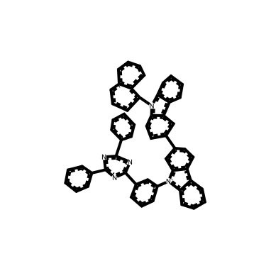 c1ccc(-c2nc(-c3ccccc3)nc(-c3cccc(-n4c5ccccc5c5ccc(-c6ccc7c(c6)c6ccccc6n7-c6cccc7ccccc67)cc54)c3)n2)cc1